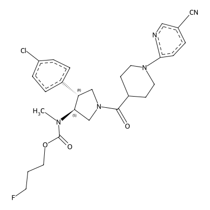 CN(C(=O)OCCCF)[C@@H]1CN(C(=O)C2CCN(c3ccc(C#N)cn3)CC2)C[C@H]1c1ccc(Cl)cc1